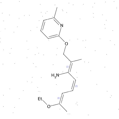 CCO/C(C)=C/C=C\C(N)=C(/C)COc1cccc(C)n1